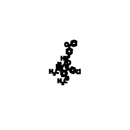 COc1ccc2c(c1)C(c1ccc(Cl)cc1)=N[C@@H](CC(=O)NCc1ccc(C(=O)c3ccccc3)cc1)c1nnc(C)n1-2